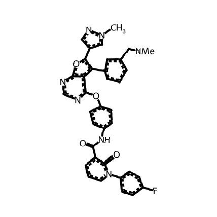 CNCc1cccc(-c2c(-c3cnn(C)c3)oc3ncnc(Oc4ccc(NC(=O)c5cccn(-c6ccc(F)cc6)c5=O)cc4)c23)c1